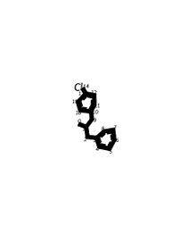 CC(Cc1ccccc1)Cc1ccc(Cl)cc1